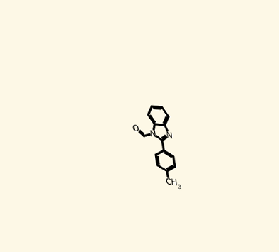 Cc1ccc(-c2nc3ccccc3n2C=O)cc1